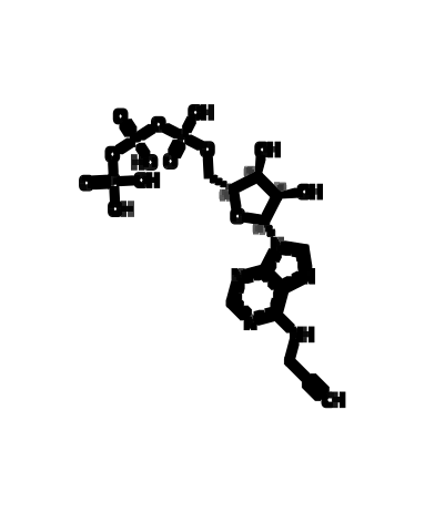 C#CCNc1ncnc2c1ncn2[C@@H]1O[C@H](COP(=O)(O)OP(=O)(O)OP(=O)(O)O)[C@@H](O)[C@H]1O